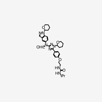 CC(C)NC(=O)NCCOc1ccc(-c2nc(N(C=O)c3ccc4c(cnn4C4CCCCO4)c3)nn2C2CCCCO2)cc1